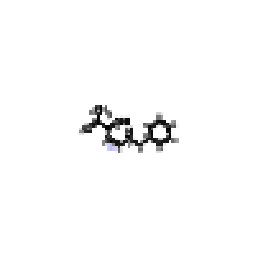 CC(=O)C(=N)/N=C\NCc1ccccc1